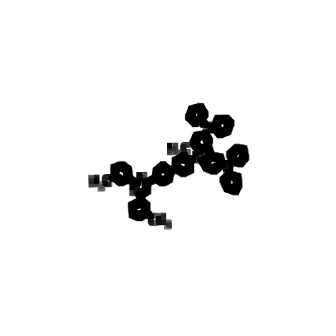 Cc1cccc(-c2cc(-c3ccc(-c4ccc(-n5c6ccc(N(c7ccccc7)c7ccccc7)cc6c6cc(N(c7ccccc7)c7ccccc7)ccc65)c(C)c4)cc3)nc(-c3cccc(C)c3)n2)c1